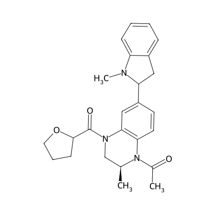 CC(=O)N1c2ccc(C3Cc4ccccc4N3C)cc2N(C(=O)C2CCCO2)C[C@@H]1C